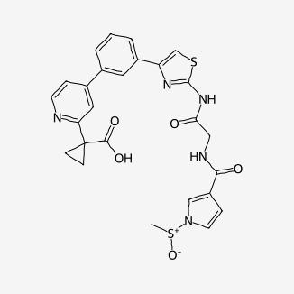 C[S+]([O-])n1ccc(C(=O)NCC(=O)Nc2nc(-c3cccc(-c4ccnc(C5(C(=O)O)CC5)c4)c3)cs2)c1